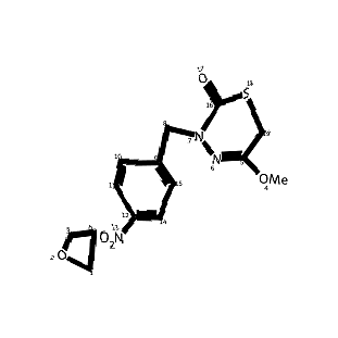 C1COC1.COC1=NN(Cc2ccc([N+](=O)[O-])cc2)C(=O)SC1